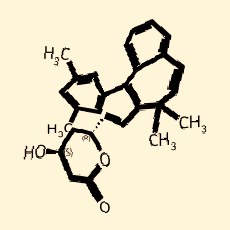 Cc1cc(C)cc(C2=C(C=C[C@H]3C[C@H](O)CC(=O)O3)C(C)(C)C=Cc3ccccc32)c1